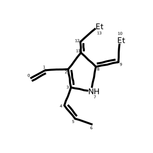 C=Cc1c(/C=C\C)[nH]c(=C/CC)/c1=C\CC